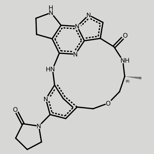 C[C@@H]1COCc2cc(nc(N3CCCC3=O)c2)Nc2nc3c(cnn3c3c2CCN3)C(=O)N1